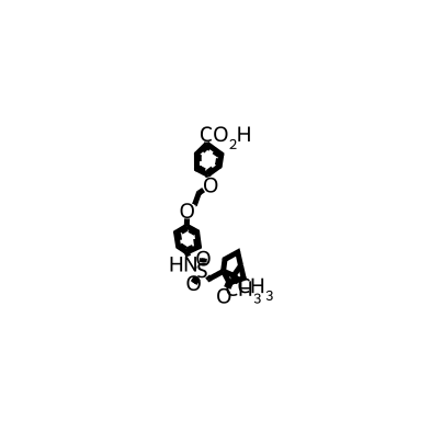 CC1(C)C2CCC1(CS(=O)(=O)Nc1ccc(OCCOc3ccc(C(=O)O)cc3)cc1)C(=O)C2